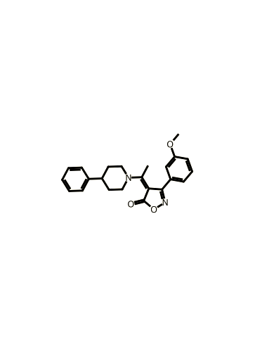 COc1cccc(C2=NOC(=O)C2=C(C)N2CCC(c3ccccc3)CC2)c1